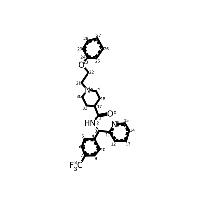 O=C(N[C@@H](c1ccc(C(F)(F)F)cc1)c1ccccn1)C1CCN(CCOc2ccccc2)CC1